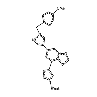 CCCC(C)n1cc(-c2nc(-c3cnn(Cc4ccc(OC)cc4)c3)cn3nccc23)cn1